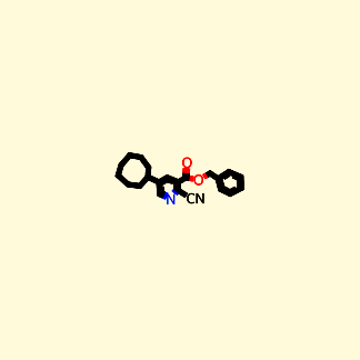 N#Cc1ncc(C2CCCCCCC2)cc1C(=O)OCc1ccccc1